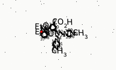 CCN(CC)S(=O)(=O)c1cc(C(=O)O)cc(N(CCN2CCN(C)CC2)CCN2CCN(C)CC2)c1Oc1ccccc1